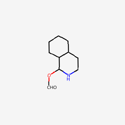 O=COC1NCCC2CCCCC21